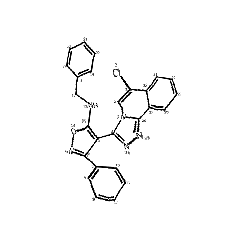 Clc1cn2c(-c3c(-c4ccccc4)noc3NCc3ccccc3)nnc2c2ccccc12